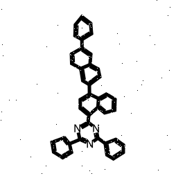 c1ccc(-c2ccc3cc(-c4ccc(-c5nc(-c6ccccc6)nc(-c6ccccc6)n5)c5ccccc45)ccc3c2)cc1